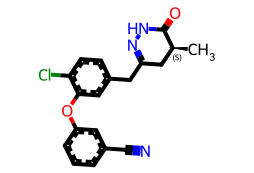 C[C@H]1CC(Cc2ccc(Cl)c(Oc3cccc(C#N)c3)c2)=NNC1=O